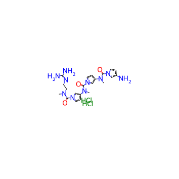 CN(CCN=C(N)N)C(=O)n1ccc(N(C)C(=O)n2ccc(N(C)C(=O)n3ccc(N)c3)c2)c1.Cl.Cl